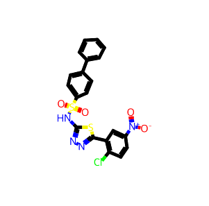 O=[N+]([O-])c1ccc(Cl)c(-c2nnc(NS(=O)(=O)c3ccc(-c4ccccc4)cc3)s2)c1